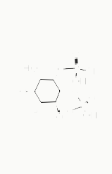 O=P(O)(O)O[C@@H]1[C@@H](O)[C@H](O)[C@H](O)[C@H](O)[C@@H]1OP(=O)(O)O